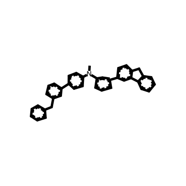 CN(c1ccc(-c2cccc(Cc3ccccc3)c2)cc1)c1cccc(-c2ccc3c(c2)-c2ccccc2C3)c1